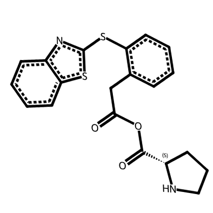 O=C(Cc1ccccc1Sc1nc2ccccc2s1)OC(=O)[C@@H]1CCCN1